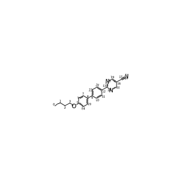 CCCCOc1ccc(-c2ccc(-c3ncc(C#N)cn3)cc2)cc1